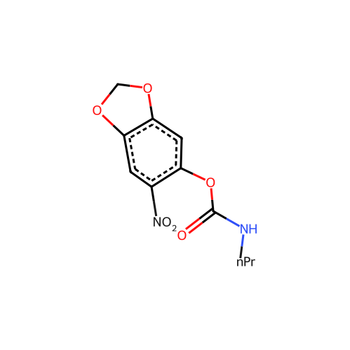 CCCNC(=O)Oc1cc2c(cc1[N+](=O)[O-])OCO2